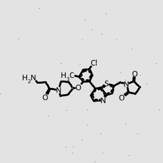 Cc1cc(Cl)cc(-c2ccnc3cc(CN4C(=O)CCC4=O)sc23)c1OC1CCN(C(=O)CCN)CC1